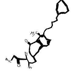 CCCC(CC1CC(=O)c2c(ccc(CCCCc3ccccc3)c2C)C1)C(CC)C(=O)CC(C)=O